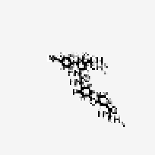 CNC(=O)c1cc(Oc2ccc(NC(=O)Nc3cc(C(C)(C)C)nn3-c3ccc(C#N)cc3)c(F)c2)ccn1